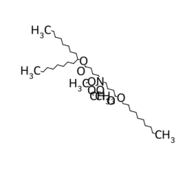 CCCCCCCCCCOC(=O)CCCN(CCCC(=O)OC(CCCCCCCC)CCCCCCCC)C(OC)(OC)OC